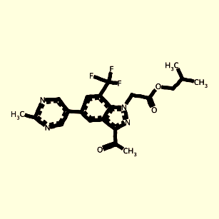 CC(=O)c1nn(CC(=O)OCC(C)C)c2c(C(F)(F)F)cc(-c3cnc(C)nc3)cc12